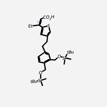 CC/C(=C/C(=O)O)c1cc(CCc2ccc(CO[Si](C)(C)C(C)(C)C)c(CO[Si](C)(C)C(C)(C)C)c2)cs1